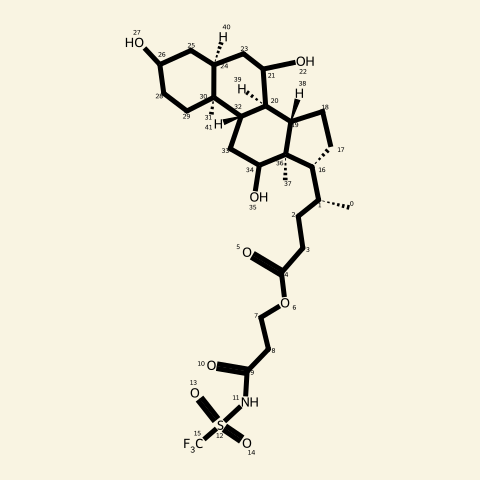 C[C@H](CCC(=O)OCCC(=O)NS(=O)(=O)C(F)(F)F)[C@H]1CC[C@H]2[C@@H]3C(O)C[C@@H]4CC(O)CC[C@]4(C)[C@H]3CC(O)[C@]12C